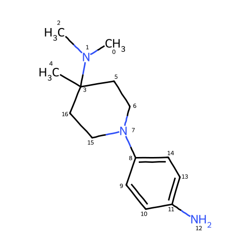 CN(C)C1(C)CCN(c2ccc(N)cc2)CC1